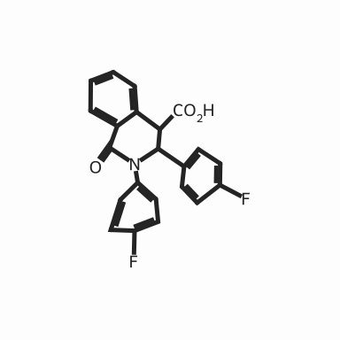 O=C(O)C1c2ccccc2C(=O)N(c2ccc(F)cc2)C1c1ccc(F)cc1